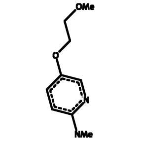 CNc1ccc(OCCOC)cn1